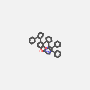 c1ccc(-c2ccccc2-c2ccc3oc4ccccc4c3c2-c2ccccc2-c2nnnc(-c3ccccc3)c2-c2ccccc2)cc1